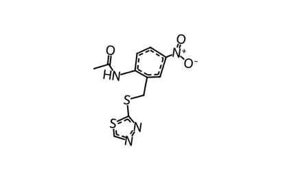 CC(=O)Nc1ccc([N+](=O)[O-])cc1CSc1nncs1